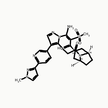 Cn1ccc(-c2ccc(-c3cnn4c(N)c(S(C)(=O)=O)c([C@H]5C[C@H]6CC[C@@H](C5)N6C(=O)CO)nc34)cn2)n1